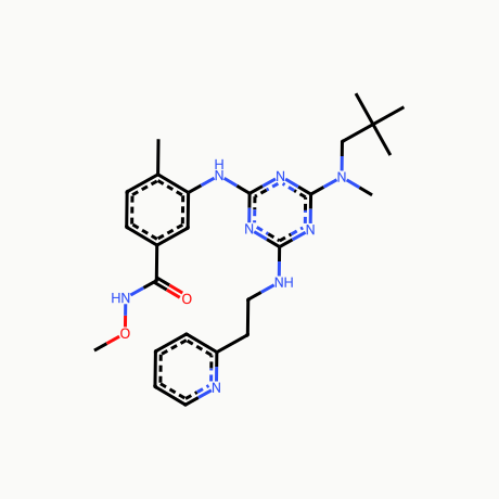 CONC(=O)c1ccc(C)c(Nc2nc(NCCc3ccccn3)nc(N(C)CC(C)(C)C)n2)c1